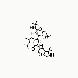 CC[C@@H](OC(C)(C)C)[C@H](NC(=O)NC(C)(C)C)C(=O)N1C[C@H](C)[C@H](C(C)C)[C@H]1C(=O)N[C@H](C=O)C[C@@H]1CCNC1=O